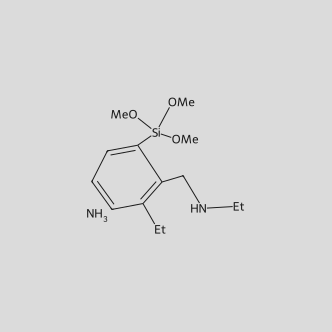 CCNCc1c(CC)cccc1[Si](OC)(OC)OC.N